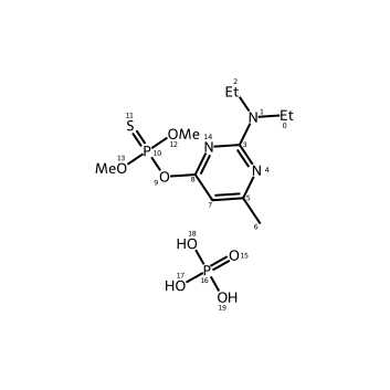 CCN(CC)c1nc(C)cc(OP(=S)(OC)OC)n1.O=P(O)(O)O